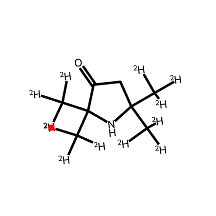 [2H]C([2H])([2H])C1(C([2H])([2H])[2H])CC(=O)C(C([2H])([2H])[2H])(C([2H])([2H])[2H])N1